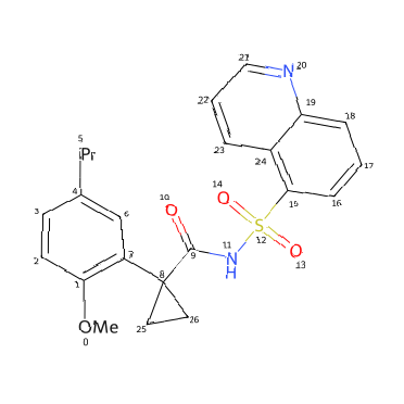 COc1ccc(C(C)C)cc1C1(C(=O)NS(=O)(=O)c2cccc3ncccc23)CC1